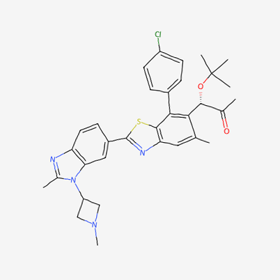 CC(=O)[C@@H](OC(C)(C)C)c1c(C)cc2nc(-c3ccc4nc(C)n(C5CN(C)C5)c4c3)sc2c1-c1ccc(Cl)cc1